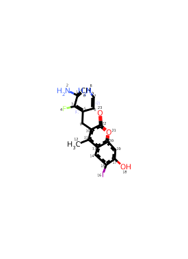 C=C(N)/C(F)=C(\C=C/N)Cc1c(C)c2cc(I)c(O)cc2oc1=O